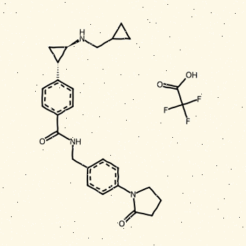 O=C(NCc1ccc(N2CCCC2=O)cc1)c1ccc([C@@H]2C[C@H]2NCC2CC2)cc1.O=C(O)C(F)(F)F